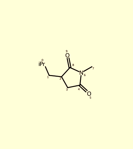 CC(C)CC1CC(=O)N(C)C1=O